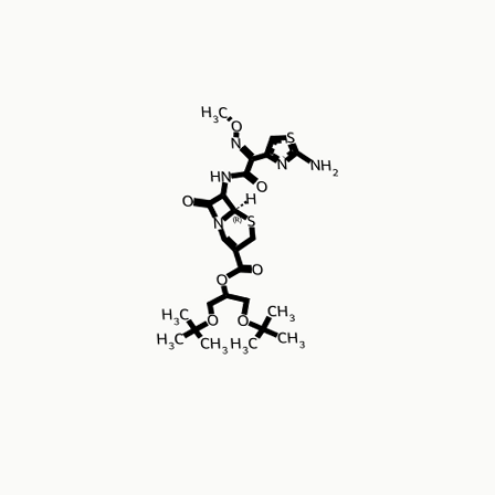 CON=C(C(=O)NC1C(=O)N2C=C(C(=O)OC(COC(C)(C)C)COC(C)(C)C)CS[C@H]12)c1csc(N)n1